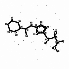 CON(C)C(=O)N(C)c1nnc(SC(C)C2CSCCS2)s1